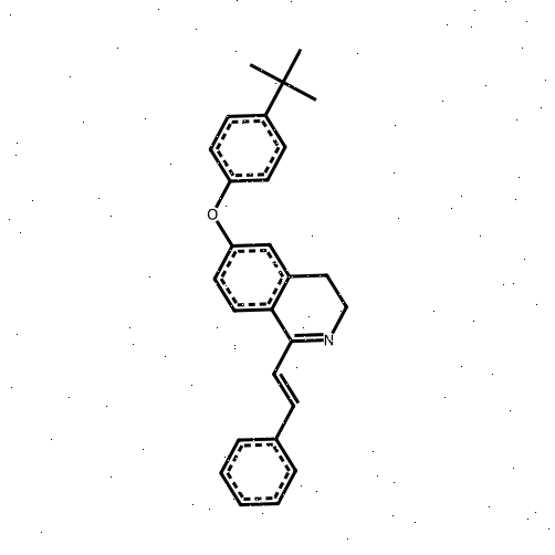 CC(C)(C)c1ccc(Oc2ccc3c(c2)CCN=C3/C=C/c2ccccc2)cc1